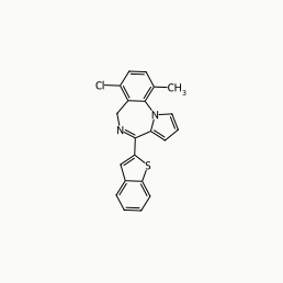 Cc1ccc(Cl)c2c1-n1cccc1C(c1cc3ccccc3s1)=NC2